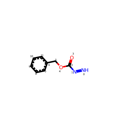 N=NC(=O)OCc1ccccc1